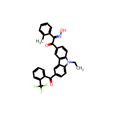 CCn1c2ccc(C(=O)C(=NO)c3ccccc3C)cc2c2cc(C(=O)c3ccccc3C(F)(F)F)ccc21